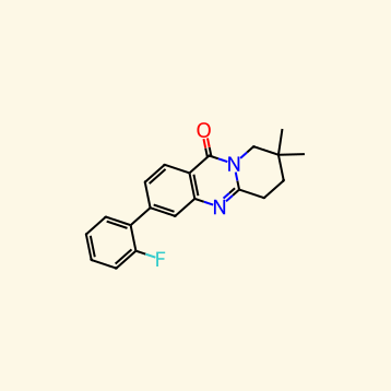 CC1(C)CCc2nc3cc(-c4ccccc4F)ccc3c(=O)n2C1